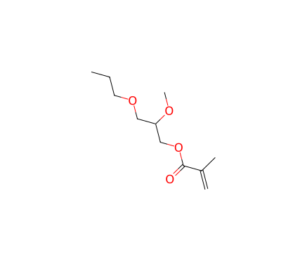 C=C(C)C(=O)OCC(COCCC)OC